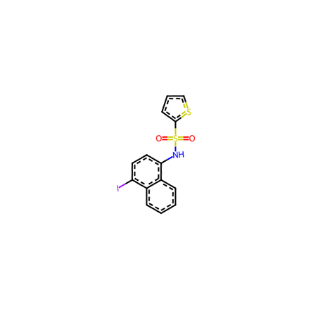 O=S(=O)(Nc1ccc(I)c2ccccc12)c1cccs1